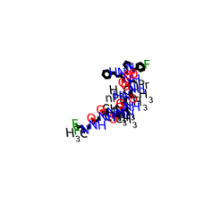 CCCC(C)(NC(=O)C(C)(C)NC(=O)C(CC(C)C)NC(=O)C(CCC1CCCCC1)NC(=O)[C@@H]1CCCN1C(=O)c1ccc(F)cc1)C(=O)NC(CC(C)C)C(=O)NC(C)(C)C(=O)NC(C)(C)C(=O)NCCC(=O)NCCN(C)CC(F)F